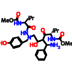 COC(=O)N[C@H](C(=O)NN(Cc1ccc(O)cc1)C[C@H](O)C(C(=O)[C@@H](NC(=O)OC)C(C)C)C(N)c1ccccc1)C(C)C